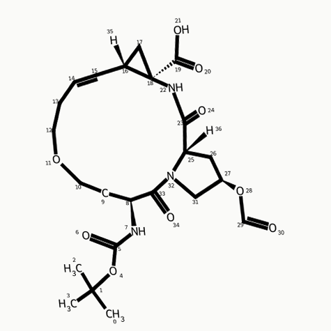 CC(C)(C)OC(=O)N[C@H]1CCOCC/C=C\[C@@H]2C[C@@]2(C(=O)O)NC(=O)[C@@H]2C[C@@H](OC=O)CN2C1=O